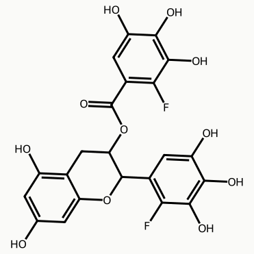 O=C(OC1Cc2c(O)cc(O)cc2OC1c1cc(O)c(O)c(O)c1F)c1cc(O)c(O)c(O)c1F